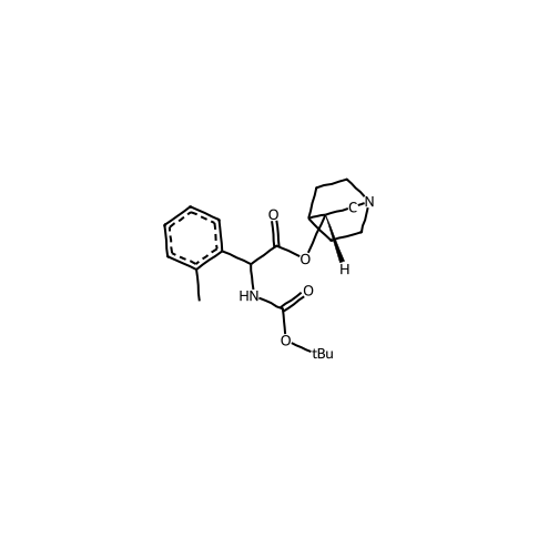 Cc1ccccc1C(NC(=O)OC(C)(C)C)C(=O)O[C@H]1CN2CCC1CC2